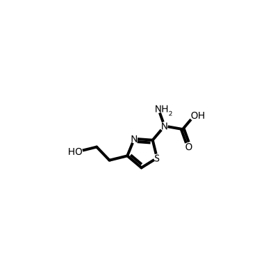 NN(C(=O)O)c1nc(CCO)cs1